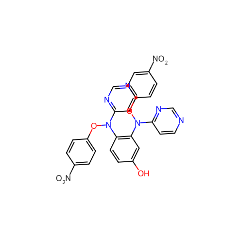 O=[N+]([O-])c1ccc(ON(c2ccncn2)c2ccc(O)cc2N(Oc2ccc([N+](=O)[O-])cc2)c2ccncn2)cc1